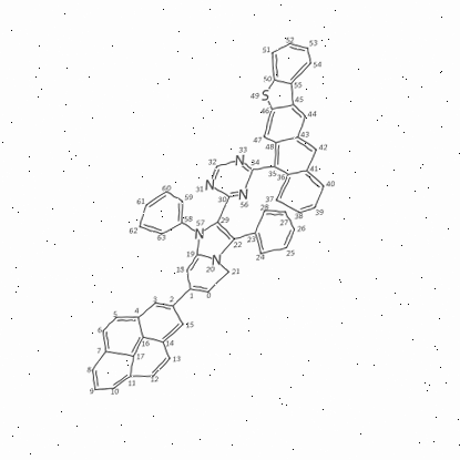 C1=C(c2cc3ccc4cccc5ccc(c2)c3c45)C=C2N(C1)C(c1ccccc1)=C(c1ncnc(-c3c4ccccc4cc4cc5c(cc34)sc3ccccc35)n1)N2c1ccccc1